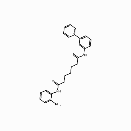 Nc1ccccc1NC(=O)CCCCCC(=O)Nc1cccc(-c2ccccc2)c1